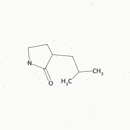 CC(C)CC1CC[N]C1=O